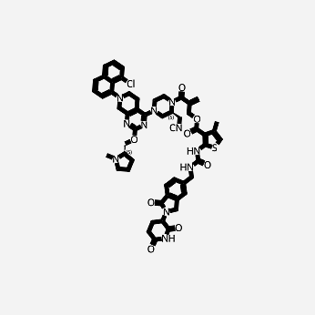 C=C(COC(=O)c1c(C)csc1NC(=O)NCc1ccc2c(c1)CN(C1CCC(=O)NC1=O)C2=O)C(=O)N1CCN(c2nc(OC[C@@H]3CCCN3C)nc3c2CCN(c2cccc4cccc(Cl)c24)C3)C[C@@H]1CC#N